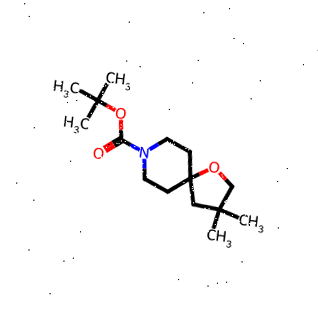 CC1(C)COC2(CCN(C(=O)OC(C)(C)C)CC2)C1